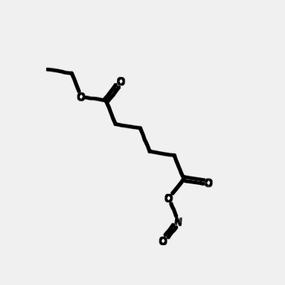 CCOC(=O)CCCCC(=O)ON=O